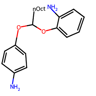 CCCCCCCCC(Oc1ccc(N)cc1)Oc1ccccc1N